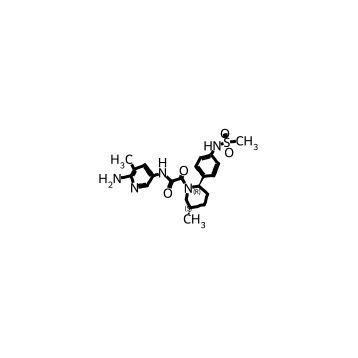 Cc1cc(NC(=O)C(=O)N2C[C@@H](C)CC[C@@H]2c2ccc(NS(C)(=O)=O)cc2)cnc1N